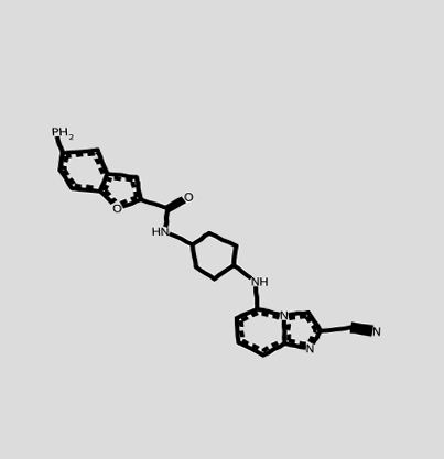 N#Cc1cn2c(NC3CCC(NC(=O)c4cc5cc(P)ccc5o4)CC3)cccc2n1